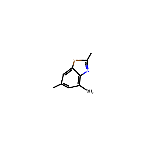 Bc1cc(C)cc2sc(C)nc12